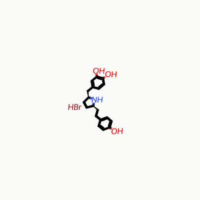 Br.Oc1ccc(CC[C@H]2CC[C@@H](Cc3ccc(O)c(O)c3)N2)cc1